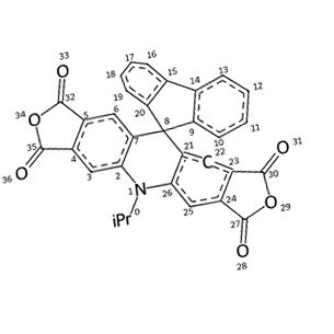 CC(C)N1c2cc3c(cc2C2(c4ccccc4-c4ccccc42)c2cc4c(cc21)C(=O)OC4=O)C(=O)OC3=O